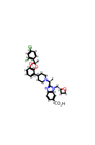 C[C@@H](c1nc2ccc(C(=O)O)cc2n1C[C@@H]1CCO1)N1CCC(c2cccc3c2O[C@@](C)(c2ccc(Cl)cc2F)O3)CC1